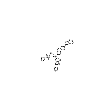 c1ccc(-c2nc3ncc(N(c4ccc5c(ccc6cc(-c7ccc8ccccc8c7)ccc65)c4)c4cnc5nc(-c6ccccc6)sc5c4)cc3s2)cc1